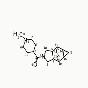 CN1CCC(C(=O)N2CC3C4CCC(C5CC45)C3C2)CC1